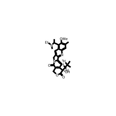 [2H]C(C)(C)C([2H])([2H])[C@@]1(O)C(=O)OCc2c1cc1n(c2=O)Cc2cc3c(C(C)N(C)CC)c(OC)c(C)cc3nc2-1